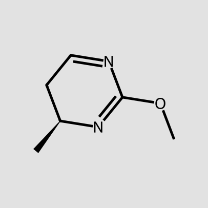 COC1=N[C@@H](C)CC=N1